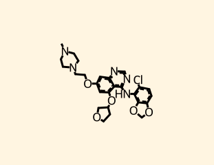 CN1CCN(CCOc2cc(OC3CCOC3)c3c(Nc4c(Cl)ccc5c4OCO5)ncnc3c2)CC1